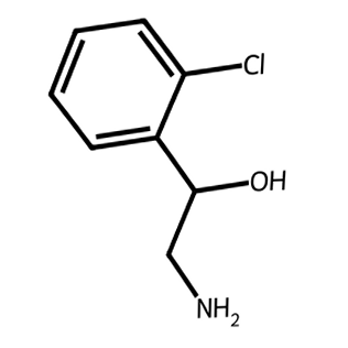 NCC(O)c1ccccc1Cl